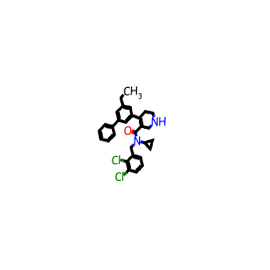 CCc1cc(C2=C(C(=O)N(Cc3cccc(Cl)c3Cl)C3CC3)CNCC2)cc(-c2ccccc2)c1